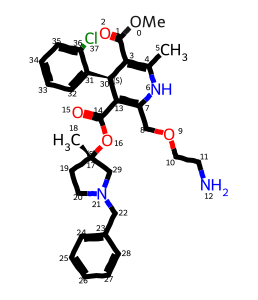 COC(=O)C1=C(C)NC(COCCN)=C(C(=O)O[C@@]2(C)CCN(Cc3ccccc3)C2)[C@H]1c1ccccc1Cl